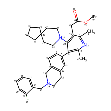 Cc1nc(C)c(-c2ccc3c(c2)CCN(Cc2ccccc2F)C3)c(N2CCC3(CCCC3)CC2)c1CC(=O)OC(C)C